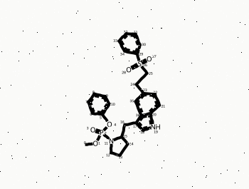 COP(=O)(Oc1ccccc1)N1CCCC1Cc1c[nH]c2ccc(CCS(=O)(=O)c3ccccc3)cc12